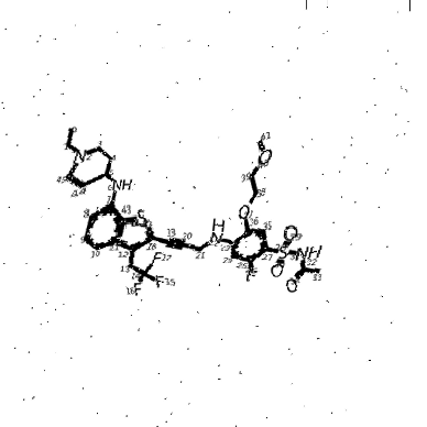 CCN1CCC(Nc2cccc3c(CC(F)(F)F)c(C#CCNc4cc(F)c(S(=O)(=O)NC(C)=O)cc4OCCOC)sc23)CC1